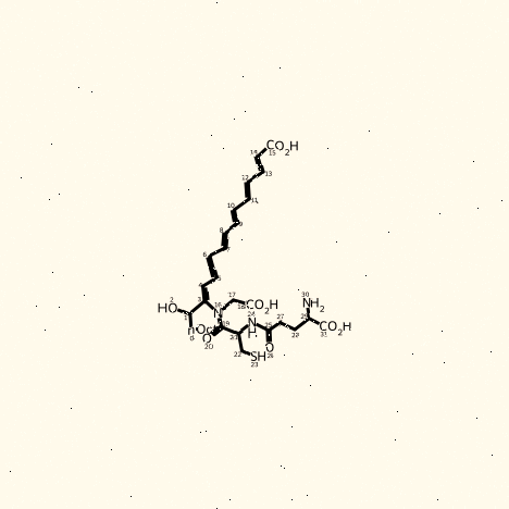 CCCCCCCCC(O)C(=CC=CC=CC=CC=CC=CC(=O)O)N(CC(=O)O)C(=O)C(CS)NC(=O)CCC(N)C(=O)O